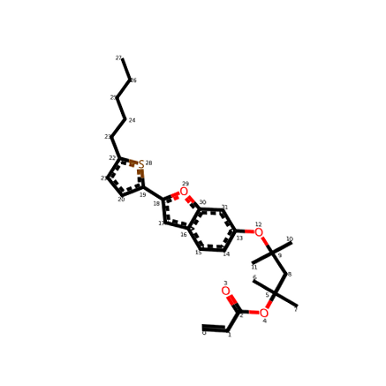 C=CC(=O)OC(C)(C)CC(C)(C)Oc1ccc2cc(-c3ccc(CCCCC)s3)oc2c1